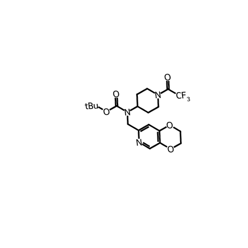 CC(C)(C)OC(=O)N(Cc1cc2c(cn1)OCCO2)C1CCN(C(=O)C(F)(F)F)CC1